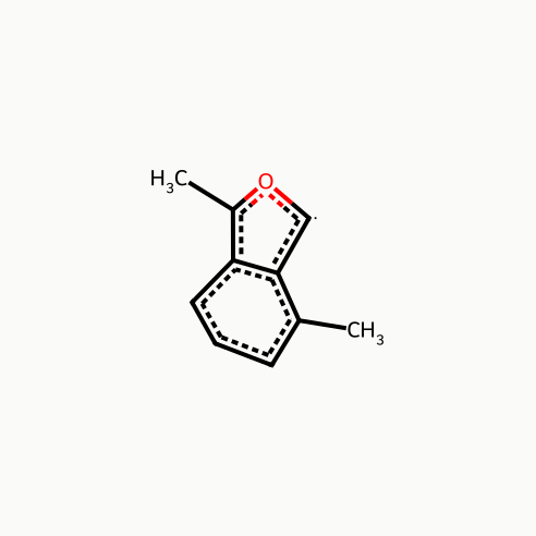 Cc1cccc2c(C)o[c]c12